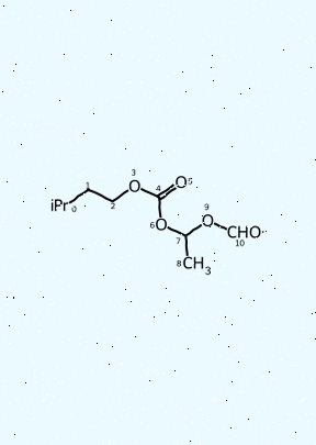 CC(C)CCOC(=O)OC(C)O[C]=O